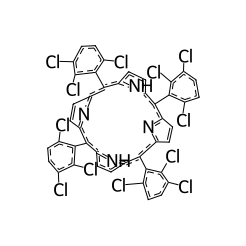 Clc1ccc(Cl)c(-c2c3nc(c(-c4c(Cl)ccc(Cl)c4Cl)c4ccc([nH]4)c(-c4c(Cl)ccc(Cl)c4Cl)c4nc(c(-c5c(Cl)ccc(Cl)c5Cl)c5ccc2[nH]5)C=C4)C=C3)c1Cl